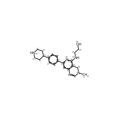 CN1C=Nc2cc(-c3ccc(C4CCNCC4)cc3)nc(NCCO)c2C1